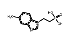 Cc1ccc2c(c1)ncn2CCP(=O)(O)O